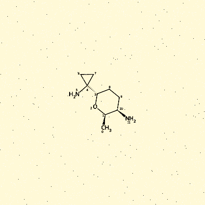 C[C@H]1O[C@H](C2(N)CC2)CC[C@H]1N